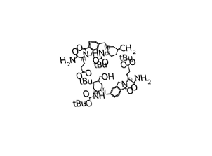 C=C1CC[C@H](NC(=O)OC(C)(C)C)[C@@H](Cc2ccc3c(c2)CN([C@@H](CCC(=O)OC(C)(C)C)C(N)=O)C3=O)C1.CC(C)(C)OC(=O)CC[C@@H](C(N)=O)N1Cc2cc(C[C@H]3CC(CO)CC[C@@H]3NC(=O)OC(C)(C)C)ccc2C1=O